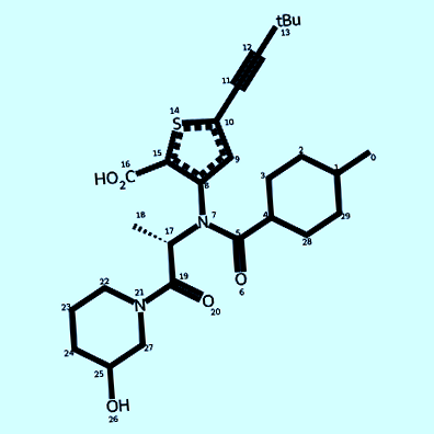 CC1CCC(C(=O)N(c2cc(C#CC(C)(C)C)sc2C(=O)O)[C@@H](C)C(=O)N2CCCC(O)C2)CC1